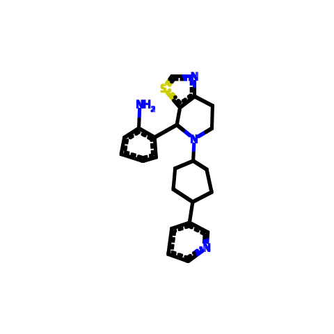 Nc1ccccc1C1c2scnc2CCN1C1CCC(c2cccnc2)CC1